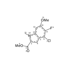 COC(=O)c1cc2c(Cl)c(F)c(OC)cc2n1C